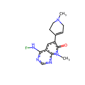 CN1CC=C(c2cc3c(NF)ncnc3n(C)c2=O)CC1